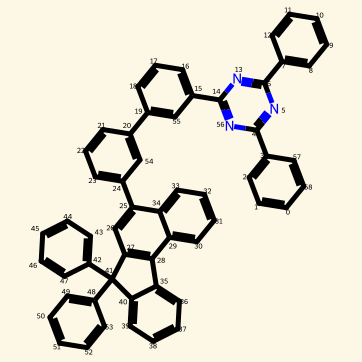 c1ccc(-c2nc(-c3ccccc3)nc(-c3cccc(-c4cccc(-c5cc6c(c7ccccc57)-c5ccccc5C6(c5ccccc5)c5ccccc5)c4)c3)n2)cc1